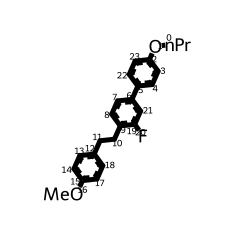 CCCOc1ccc(-c2ccc(CCc3ccc(OC)cc3)c(F)c2)cc1